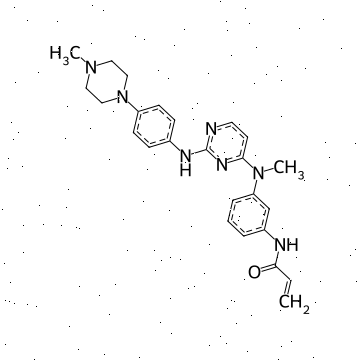 C=CC(=O)Nc1cccc(N(C)c2ccnc(Nc3ccc(N4CCN(C)CC4)cc3)n2)c1